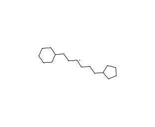 [CH](CCCC1CCCC1)CCC1CCCCC1